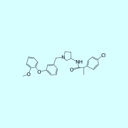 COc1ccccc1Oc1cccc(CN2CCC(NC(=O)C(C)c3ccc(Cl)cc3)C2)c1